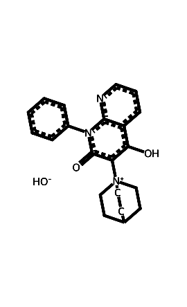 O=c1c([N+]23CCC(CC2)CC3)c(O)c2cccnc2n1-c1ccccc1.[OH-]